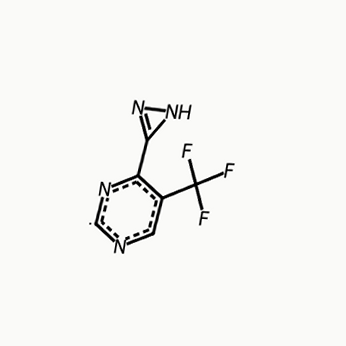 FC(F)(F)c1cn[c]nc1C1=NN1